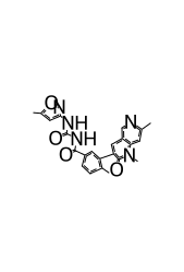 Cc1cc2c(cn1)cc(-c1cc(C(=O)NC(=O)Nc3cc(C)on3)ccc1C)c(=O)n2C